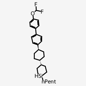 CCCCC[SiH]1CCC([C@H]2CC[C@H](c3ccc(-c4ccc(OC(F)F)cc4)cc3)CC2)CC1